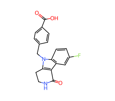 O=C(O)c1ccc(Cn2c3c(c4cc(F)ccc42)C(=O)NCC3)cc1